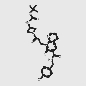 CC(C)(C)OC(=O)NC1CN(C(=O)CCn2c(=O)c(C(=O)NCc3ccc(Cl)cc3)cc3cccnc32)C1